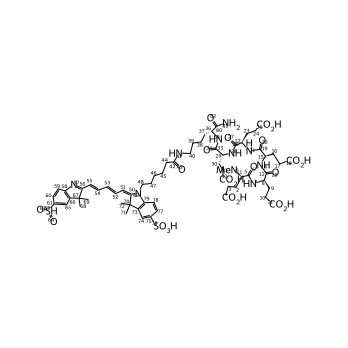 CN[C@H](CCC(=O)O)C(=O)N[C@H](CCC(=O)O)C(=O)N[C@H](CCC(=O)O)C(=O)N[C@H](CCC(=O)O)C(=O)N[C@H](CCC(=O)O)C(=O)N[C@H](CCCCNC(=O)CCCCCN1/C(=C/C=C/C=C/C2=Nc3ccc([SH](=O)=O)cc3C2(C)C)C(C)(C)c2cc(S(=O)(=O)O)ccc21)C(N)=O